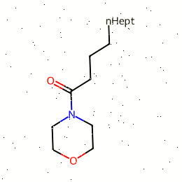 [CH2]CCCCCCCCCC(=O)N1CCOCC1